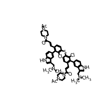 CC(=O)N1CCN(C(=O)/C=C/c2ccc(Sc3ccc(/C=C/C(=O)N4CCN(C(C)=O)CC4)c(-c4ccc5[nH]cc(CN(C)C)c5c4)c3Cl)c(Cl)c2-c2ccc3[nH]cc(CN(C)C)c3c2)CC1